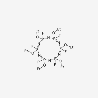 CCOP1(F)=NP(F)(OCC)=NP(F)(OCC)=NP(F)(OCC)=NP(F)(OCC)=NP(F)(OCC)=N1